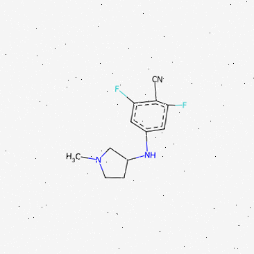 CN1CCC(Nc2cc(F)c(C#N)c(F)c2)C1